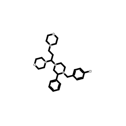 Clc1ccc(CN2CCN(C(CCN3CCOCC3)N3CCOCC3)CC2c2ccccc2)cc1